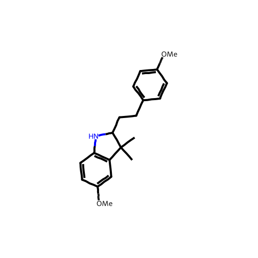 COc1ccc(CCC2Nc3ccc(OC)cc3C2(C)C)cc1